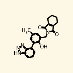 Cc1cc(CN2C(=O)C3=C(CCCC3)C2=O)c(O)c(-c2cccc3[nH]nnc23)c1